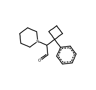 O=CC(N1CCCCC1)C1(c2ccccc2)CCC1